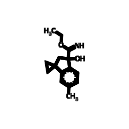 CCOC(=N)C1(O)CC2(CC2)c2cc(C)ccc21